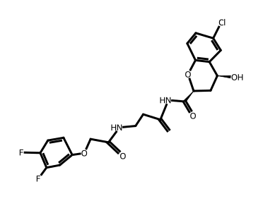 C=C(CCNC(=O)COc1ccc(F)c(F)c1)NC(=O)[C@@H]1C[C@H](O)c2cc(Cl)ccc2O1